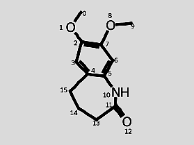 COc1cc2c(cc1OC)NC(=O)CCC2